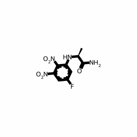 C[C@H](Nc1cc(F)cc([N+](=O)[O-])c1[N+](=O)[O-])C(N)=O